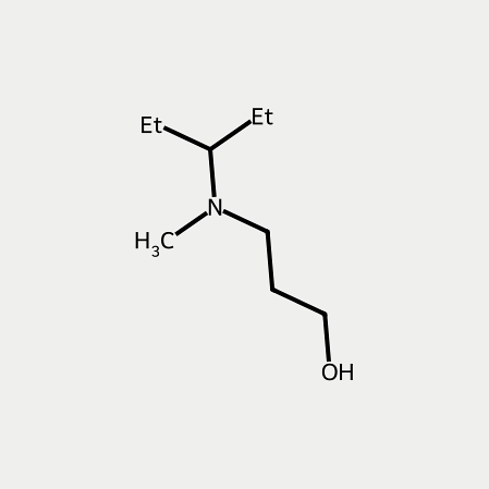 CCC(CC)N(C)CCCO